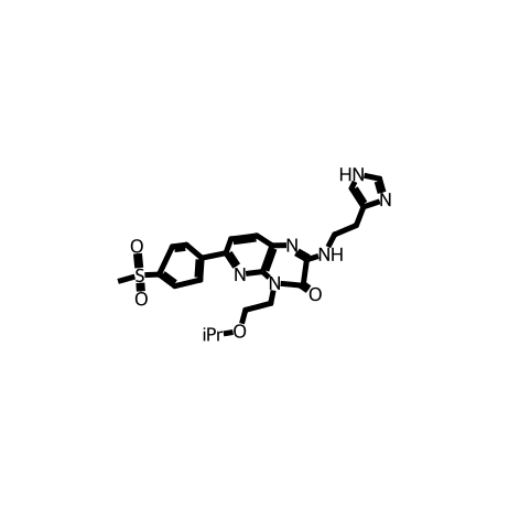 CC(C)OCCn1c(=O)c(NCCc2c[nH]cn2)nc2ccc(-c3ccc(S(C)(=O)=O)cc3)nc21